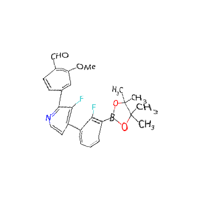 COc1cc(-c2nccc(-c3cccc(B4OC(C)(C)C(C)(C)O4)c3F)c2F)ccc1C=O